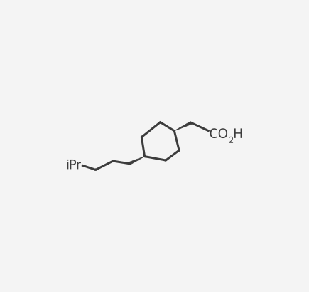 CC(C)CCC[C@H]1CC[C@@H](CC(=O)O)CC1